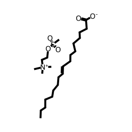 CCCCCCCCC=CCCCCCCCC(=O)[O-].C[N+](C)(C)CCOS(C)(=O)=O